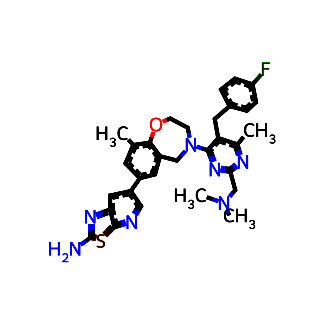 Cc1cc(-c2cnc3sc(N)nc3c2)cc2c1OCCN(c1nc(CN(C)C)nc(C)c1Cc1ccc(F)cc1)C2